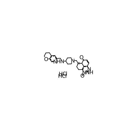 Cl.Cl.O=C1C=Cc2n[nH][n+](=O)c3c2C1[C@H](CN1CCC(NCc2cc4c(cn2)OCCC4)CC1)CC3